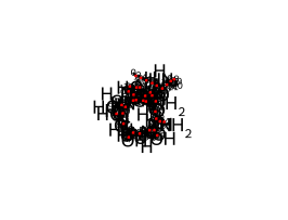 CCCCCCCCCC(=O)N[C@@H](Cc1c[nH]c2ccccc12)C(=O)N[C@@H](CC(N)=O)C(=O)N[C@@H](CCC(=O)O)C(=O)N[C@@H]1C(=O)NCC(=O)N[C@@H](CCCN)C(=O)N[C@@H](CCC(=O)O)C(=O)N[C@H](C)C(=O)N[C@@H](CC(=O)O)C(=O)NCC(=O)N[C@H](CO)C(=O)N[C@@H]([C@@H](C)CC(=O)O)C(=O)N[C@@H](CC(=O)c2ccccc2N)C(=O)O[C@@H]1C